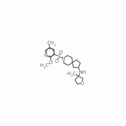 COc1ncc(C)cc1S(=O)(=O)N1CCC2(CCC(NC3(C)CCOC3)C2)CC1